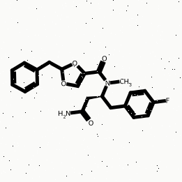 CN(C(=O)C1=COC(Cc2ccccc2)O1)[C@H](CC(N)=O)Cc1ccc(F)cc1